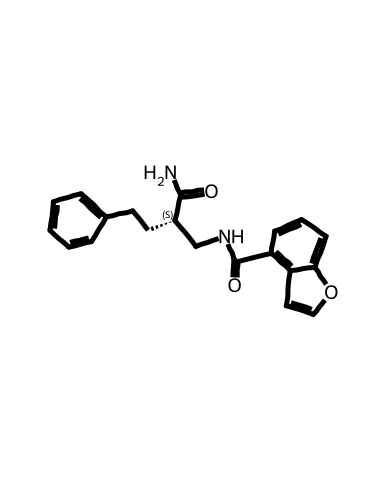 NC(=O)[C@@H](CCc1ccccc1)CNC(=O)c1cccc2occc12